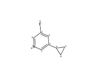 Fc1[c]c(C2CC2)cnc1